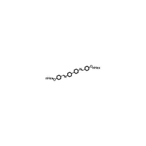 CCCCCCOc1ccc(C=Nc2ccc(-c3ccc(N=Cc4ccc(OCCCCCC)cc4)cc3)cc2)cc1